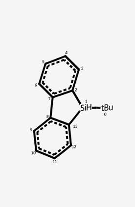 CC(C)(C)[SiH]1c2ccccc2-c2ccccc21